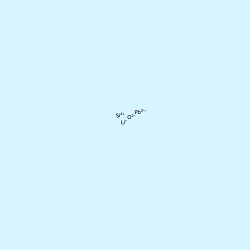 [Li+].[O-2].[Pb+2].[Si+4]